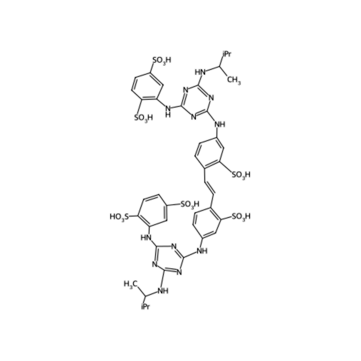 CC(C)C(C)Nc1nc(Nc2ccc(/C=C/c3ccc(Nc4nc(Nc5cc(S(=O)(=O)O)ccc5S(=O)(=O)O)nc(NC(C)C(C)C)n4)cc3S(=O)(=O)O)c(S(=O)(=O)O)c2)nc(Nc2cc(S(=O)(=O)O)ccc2S(=O)(=O)O)n1